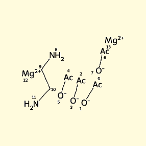 CC(=O)[O-].CC(=O)[O-].CC(=O)[O-].CC(=O)[O-].NCCN.[Mg+2].[Mg+2]